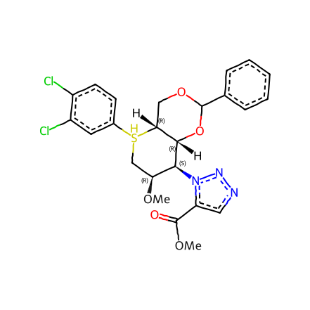 COC(=O)c1cnnn1[C@@H]1[C@H]2OC(c3ccccc3)OC[C@H]2[SH](c2ccc(Cl)c(Cl)c2)C[C@@H]1OC